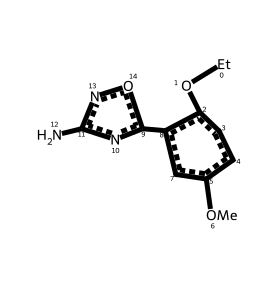 CCOc1ccc(OC)cc1-c1nc(N)no1